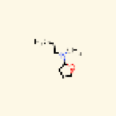 CCCN(C)[C]1CCCO1